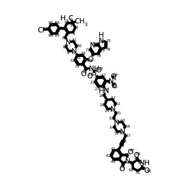 CC1(C)CCC(CN2CCN(c3ccc(C(=O)NS(=O)(=O)c4ccc(NCC5CCN(CCN6CCN(CC#Cc7cccc8c7C(=O)N(C7CCC(=O)NC7=O)C8=O)CC6)CC5)c([N+](=O)[O-])c4)c(Oc4cnc5[nH]ccc5c4)c3)CC2)=C(c2ccc(Cl)cc2)C1